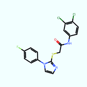 O=C(CSc1nccn1-c1ccc(F)cc1)Nc1ccc(Cl)c(Cl)c1